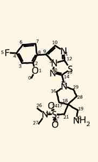 COc1cc(F)ccc1-c1cnc2sc(N3CCC(CN)(CS(=O)(=O)N(C)C)CC3)nn12